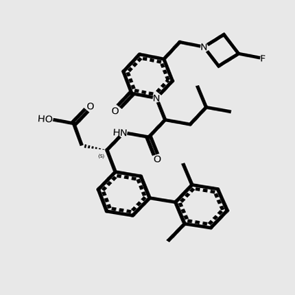 Cc1cccc(C)c1-c1cccc([C@H](CC(=O)O)NC(=O)C(CC(C)C)n2cc(CN3CC(F)C3)ccc2=O)c1